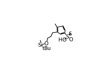 Cc1ccc(S(=O)(O)=S)cc1CCCO[Si](C)(C)C(C)(C)C